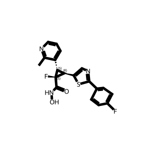 Cc1ncccc1[C@@H]1[C@@H](c2cnc(-c3ccc(F)cc3)s2)[C@]1(F)C(=O)NO